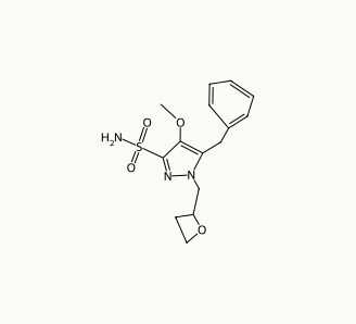 COc1c(S(N)(=O)=O)nn(CC2CCO2)c1Cc1ccccc1